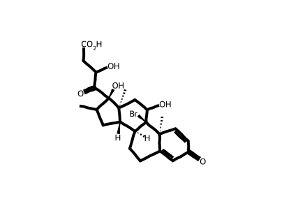 CC1C[C@H]2[C@@H]3CCC4=CC(=O)C=C[C@]4(C)[C@@]3(Br)C(O)C[C@]2(C)[C@@]1(O)C(=O)C(O)CC(=O)O